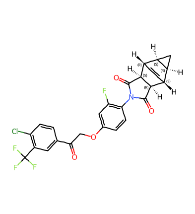 O=C(COc1ccc(N2C(=O)[C@@H]3[C@@H]4C=C[C@@H]([C@H]5C[C@@H]45)[C@@H]3C2=O)c(F)c1)c1ccc(Cl)c(C(F)(F)F)c1